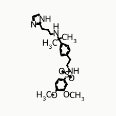 COc1ccc(S(=O)(=O)NCCc2ccc(C(C)(C)NCCCc3ncc[nH]3)cc2)cc1OC